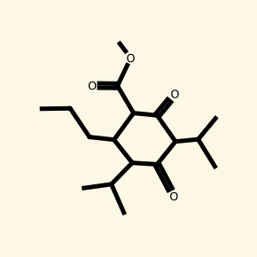 CCCC1C(C(=O)OC)C(=O)C(C(C)C)C(=O)C1C(C)C